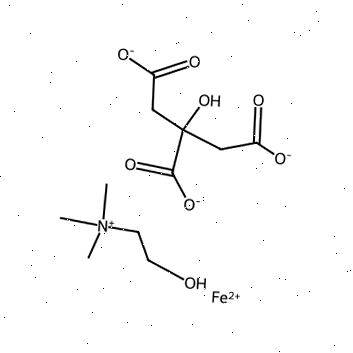 C[N+](C)(C)CCO.O=C([O-])CC(O)(CC(=O)[O-])C(=O)[O-].[Fe+2]